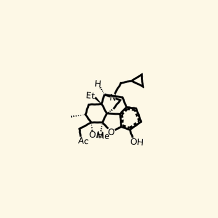 CC[C@]12C[C@@H](C)[C@@](CC(C)=O)(OC)[C@@H]3Oc4c(O)ccc5c4[C@@]31CCN(CC1CC1)[C@@H]2C5